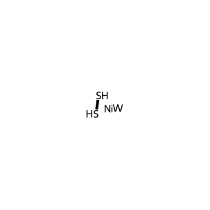 SS.[Ni].[W]